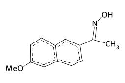 COc1ccc2cc(C(C)=NO)ccc2c1